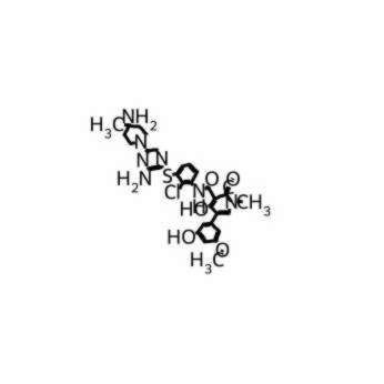 COc1cc(O)cc(C2=CN(C)C(=C=O)C(C(=O)Nc3cccc(Sc4ncc(N5CCC(C)(N)CC5)nc4N)c3Cl)=C2O)c1